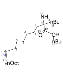 CCCCCCCC/C=C\CCCCCCC(N)(CCCC)C(=O)OCCCC